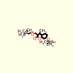 Cc1c(COCC[Si](C)(C)C)c(=O)oc2cc(O[Si](C)(C)C(C)(C)C)ccc12